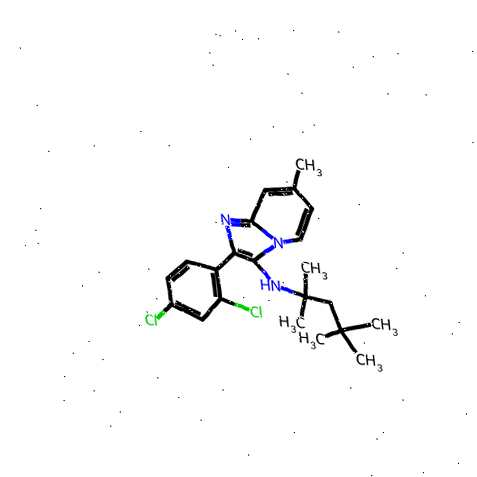 Cc1ccn2c(NC(C)(C)CC(C)(C)C)c(-c3ccc(Cl)cc3Cl)nc2c1